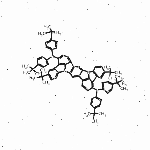 CC(C)(C)c1ccc(N(c2ccc(C(C)(C)C)cc2)c2ccc3c4cc5c(cc4n4c6ccc(C(C)(C)C)cc6c2c34)c2ccc(N(c3ccc(C(C)(C)C)cc3)c3ccc(C(C)(C)C)cc3)c3c4cc(C(C)(C)C)ccc4n5c23)cc1